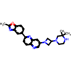 Cc1nc2cc(-c3ccc4ncc(N5CC(N6CCNC(C)(C)C6)C5)cc4n3)ccc2o1